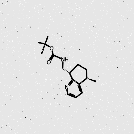 C[C@@H]1CC[C@@H](CNC(=O)OC(C)(C)C)c2ncccc21